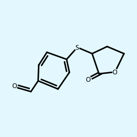 O=Cc1ccc(SC2CCOC2=O)cc1